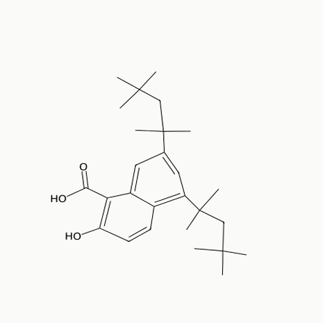 CC(C)(C)CC(C)(C)c1cc(C(C)(C)CC(C)(C)C)c2ccc(O)c(C(=O)O)c2c1